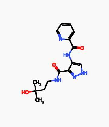 CC(C)(O)CCNC(=O)c1n[nH]cc1NC(=O)c1ccccn1